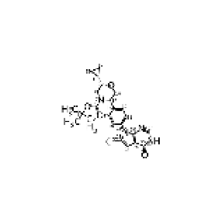 CC(C)(C)OC(=O)N1C[C@H](C2CC2)OC[C@H]1c1ccc(-n2c(Cl)cc3c(=O)[nH]cnc32)cc1